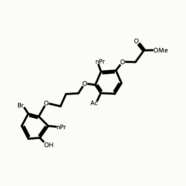 CCCc1c(O)ccc(Br)c1OCCCOc1c(C(C)=O)ccc(OCC(=O)OC)c1CCC